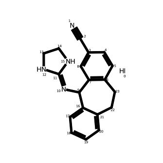 I.N#Cc1ccc2c(c1)C(N=C1NCCN1)c1ccccc1CC2